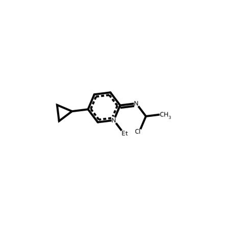 CCn1cc(C2CC2)cc/c1=N/C(C)Cl